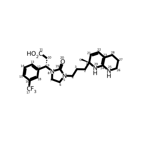 C[C@@]1(CCCN2CCN([C@@H](CC(=O)O)c3cccc(C(F)(F)F)c3)C2=O)C=CC2=C(NCCC2)N1